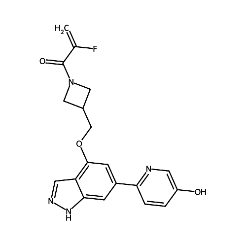 C=C(F)C(=O)N1CC(COc2cc(-c3ccc(O)cn3)cc3[nH]ncc23)C1